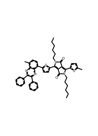 CCCCCCN1C(=O)C2=C(c3ccc(-c4ccc(C)c5nc(-c6ccccc6)c(-c6ccccc6)nc45)s3)N(CCCCCC)C(=O)C2=C1c1ccc(C)s1